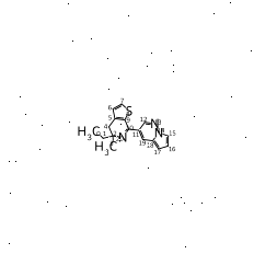 CCC1(C)Cc2ccsc2C(c2cnn3cccc3c2)=N1